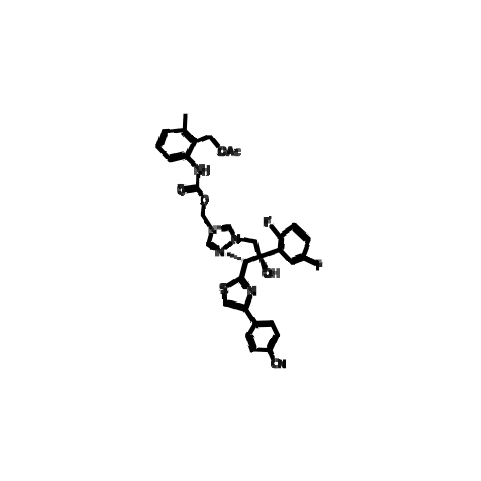 CC(=O)OCc1c(C)cccc1NC(=O)OC[n+]1cnn(C[C@](O)(c2cc(F)ccc2F)[C@@H](C)c2nc(-c3ccc(C#N)cc3)cs2)c1